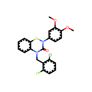 COc1ccc(N2Sc3ccccc3N(Cc3c(F)cccc3Cl)C2=O)cc1OC